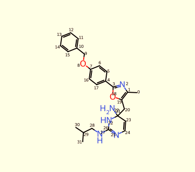 Cc1nc(-c2ccc(OCc3ccccc3)cc2)oc1CC1(N)C=CN=C(NCC(C)C)N1